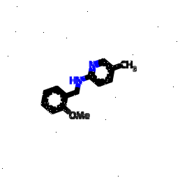 COc1ccccc1CNc1ccc(C)cn1